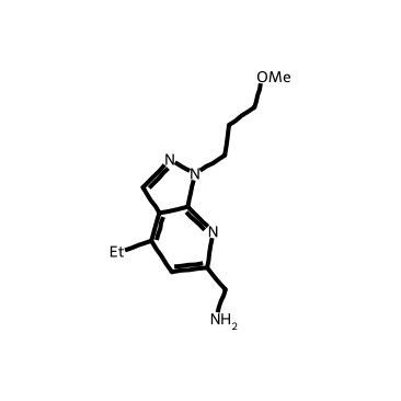 CCc1cc(CN)nc2c1cnn2CCCOC